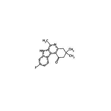 Cc1nc2c(c3c1[nH]c1cc(F)ccc13)C(=O)CC(C)(C)C2